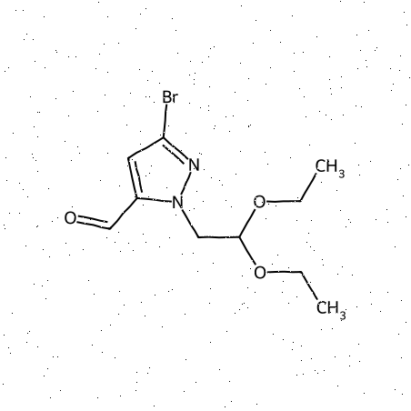 CCOC(Cn1nc(Br)cc1C=O)OCC